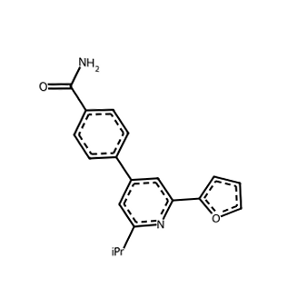 CC(C)c1cc(-c2ccc(C(N)=O)cc2)cc(-c2ccco2)n1